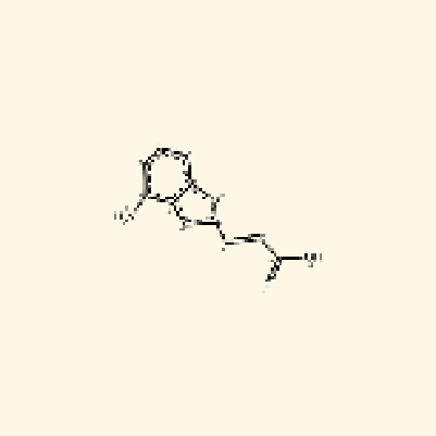 Nc1cccc2oc(/C=C/C(=O)O)cc12